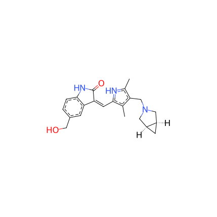 Cc1[nH]c(C=C2C(=O)Nc3ccc(CO)cc32)c(C)c1CN1C[C@H]2C[C@H]2C1